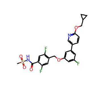 CS(=O)(=O)NC(=O)c1cc(F)c(COc2cc(F)cc(-c3ccc(OCC4CC4)nc3)c2)cc1F